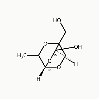 CC1OC2(CO)CO[C@H]1C[C@@H]2O